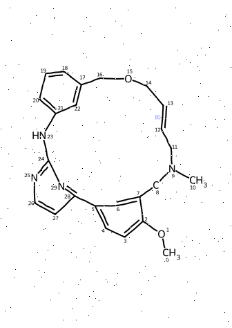 COc1ccc2cc1CN(C)C/C=C/COCc1cccc(c1)Nc1nccc-2n1